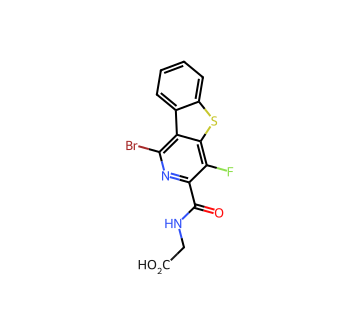 O=C(O)CNC(=O)c1nc(Br)c2c(sc3ccccc32)c1F